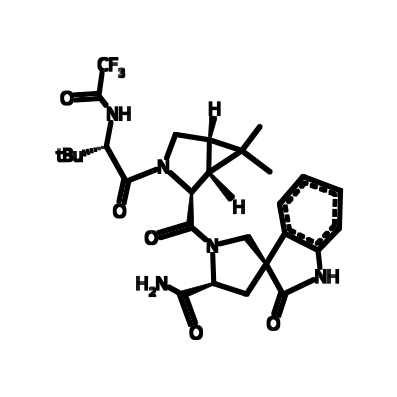 CC(C)(C)[C@H](NC(=O)C(F)(F)F)C(=O)N1C[C@H]2[C@@H]([C@H]1C(=O)N1C[C@]3(C[C@H]1C(N)=O)C(=O)Nc1ccccc13)C2(C)C